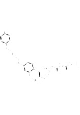 CC1(C)Oc2cc(CCCCCc3ccc(F)cc3)cc(O)c2C2=C1CCN(CC(=O)NC(N)=O)C2